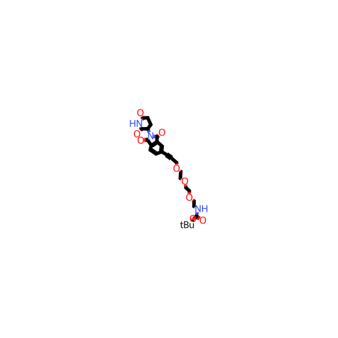 CC(C)(C)OC(=O)NCCOCCOCCOCC#Cc1ccc2c(c1)C(=O)N(C1CCC(=O)NC1=O)C2=O